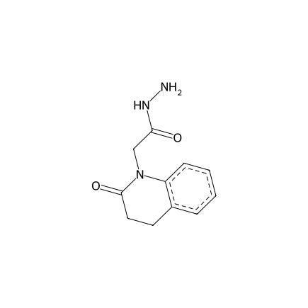 NNC(=O)CN1C(=O)CCc2ccccc21